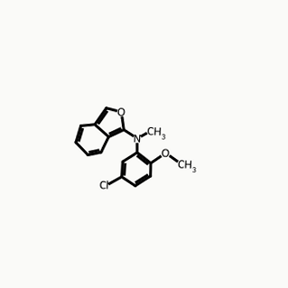 COc1ccc(Cl)cc1N(C)c1occ2ccccc12